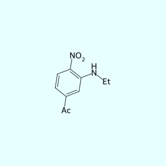 CCNc1cc(C(C)=O)ccc1[N+](=O)[O-]